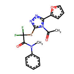 CC(=O)n1c(SC(F)(F)C(=O)N(C)c2ccccc2)nnc1-c1ccco1